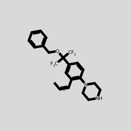 C/C=C\c1cc(C(OCc2ccccc2)(C(F)(F)F)C(F)(F)F)ccc1N1CCNCC1